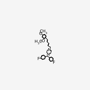 COc1ccc(/C=C/C=C/CN2CCN(C(c3ccc(F)cc3)c3ccc(F)cc3)CC2)c(OC)c1